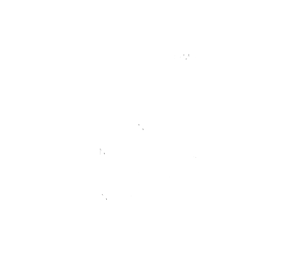 COC1CCN(c2ncnc3scc(C(C)C)c23)CC1